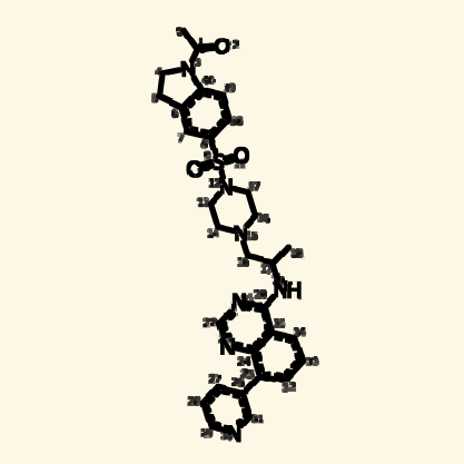 CC(=O)N1CCc2cc(S(=O)(=O)N3CCN(CC(C)Nc4ncnc5c(-c6cccnc6)cccc45)CC3)ccc21